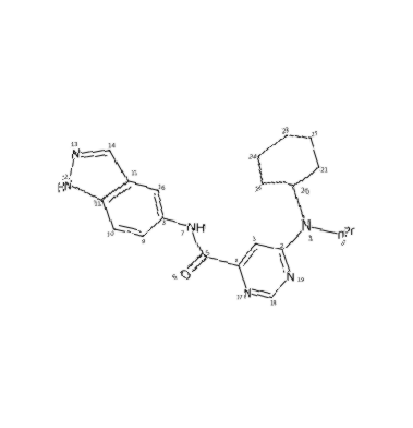 CCCN(c1cc(C(=O)Nc2ccc3[nH]ncc3c2)ncn1)C1CCCCC1